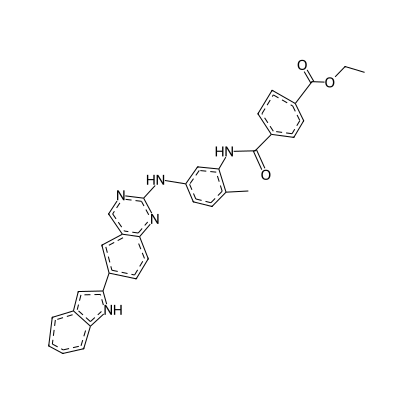 CCOC(=O)c1ccc(C(=O)Nc2cc(Nc3ncc4cc(-c5cc6ccccc6[nH]5)ccc4n3)ccc2C)cc1